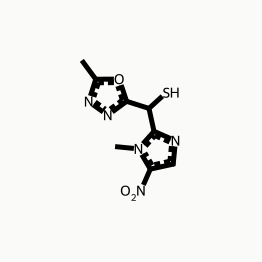 Cc1nnc(C(S)c2ncc([N+](=O)[O-])n2C)o1